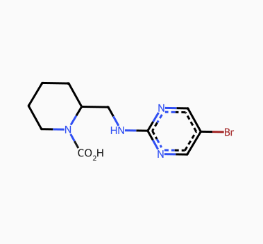 O=C(O)N1CCCCC1CNc1ncc(Br)cn1